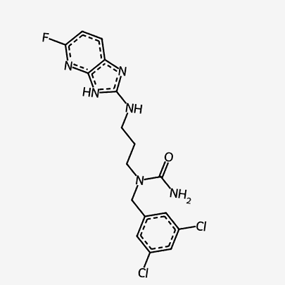 NC(=O)N(CCCNc1nc2ccc(F)nc2[nH]1)Cc1cc(Cl)cc(Cl)c1